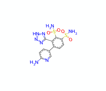 Nc1ccc(-c2ccc(S(N)(=O)=O)c(S(N)(=O)=O)c2-c2nn[nH]n2)cn1